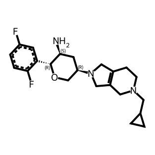 N[C@H]1C[C@@H](N2CC3=C(CN(CC4CC4)CC3)C2)CO[C@@H]1c1cc(F)ccc1F